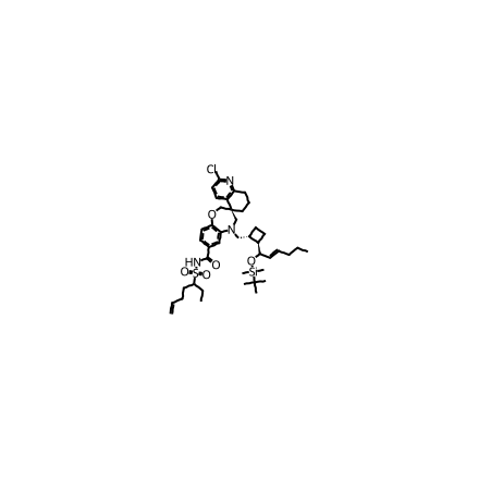 C=CCCC(CC)S(=O)(=O)NC(=O)c1ccc2c(c1)N(C[C@@H]1CC[C@H]1C(/C=C/CCC)O[Si](C)(C)C(C)(C)C)C[C@@]1(CCCc3nc(Cl)ccc31)CO2